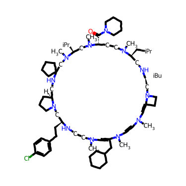 CC[C@H](C)[C@H]1CN2CCC2=CN(C)C=CN(C)C(CC2CCCCC2)=CN(C)CCN[C@@H](CCc2ccc(Cl)cc2)CN2CCC[C@H]2CNC2(CCCC2)CN(C)[C@@H](C(C)C)CN(C)[C@H](C(=O)N2CCCCC2)CCN(C)[C@@H](CC(C)C)CN1